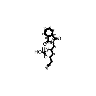 N#CCCCC(CN1C(=O)c2ccccc2C1=O)NC(=O)O